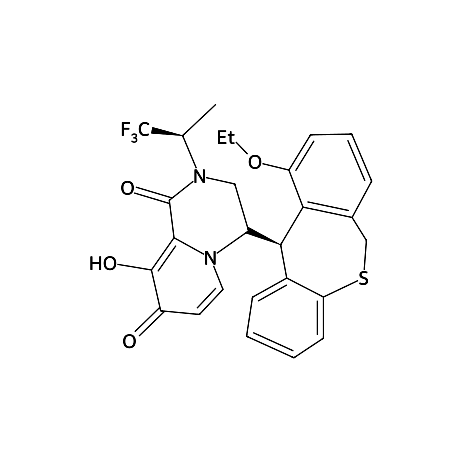 CCOc1cccc2c1[C@H](C1CN([C@H](C)C(F)(F)F)C(=O)c3c(O)c(=O)ccn31)c1ccccc1SC2